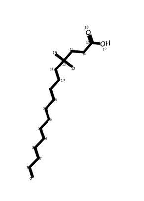 CCCCCCCCCCCCC(C)(C)CCC(=O)O